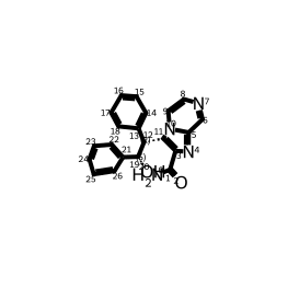 NC(=O)c1nc2cnccn2c1[C@@H](c1ccccc1)[C@H](O)c1ccccc1